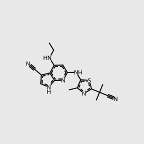 CCNc1cc(Nc2sc(C(C)(C)C#N)nc2C)nc2[nH]cc(C#N)c12